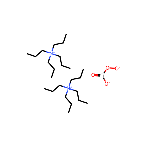 CCC[N+](CCC)(CCC)CCC.CCC[N+](CCC)(CCC)CCC.[O]=[Ti]([O-])[O][O-]